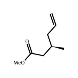 C=CC[C@@H](C)CC(=O)OC